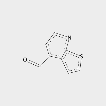 O=Cc1ccnc2sccc12